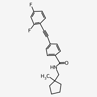 CC1(CNC(=O)c2ccc(C#Cc3ccc(F)cc3F)cc2)CCCC1